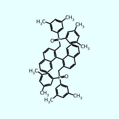 Cc1cc(C)cc(P(=O)(Cc2ccc3ccccc3c2-c2c(CP(=O)(c3cc(C)cc(C)c3)c3cc(C)cc(C)c3)ccc3ccccc23)c2cc(C)cc(C)c2)c1